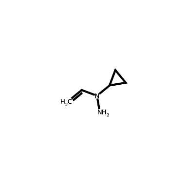 C=CN(N)C1CC1